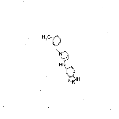 Cc1cccc(CN2CC3CC(Nc4ccc5[nH]ncc5c4)C2C3)c1